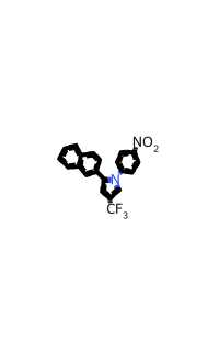 O=[N+]([O-])c1ccc(-n2cc(C(F)(F)F)cc2-c2ccc3ccccc3c2)cc1